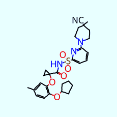 Cc1ccc(OC2CCCC2)c(OC2(C(=O)NS(=O)(=O)c3cccc(N4CCC(C)(C#N)CC4)n3)CC2)c1